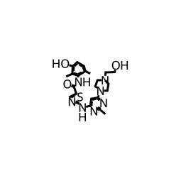 Cc1nc(Nc2ncc(C(=O)Nc3c(C)ccc(O)c3C)s2)cc(N2CCN(CCO)CC2)n1